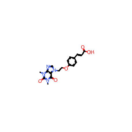 Cn1c(=O)c2c(ncn2CCOc2ccc(C=CC(=O)O)cc2)n(C)c1=O